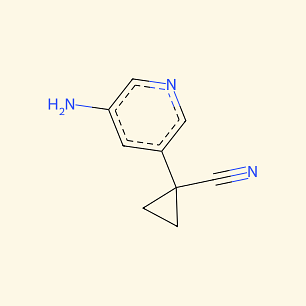 N#CC1(c2cncc(N)c2)CC1